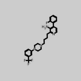 Nc1c(-c2ccccc2F)ccnc1CCCCN1CCN(c2cccc(C(F)(F)F)c2)CC1